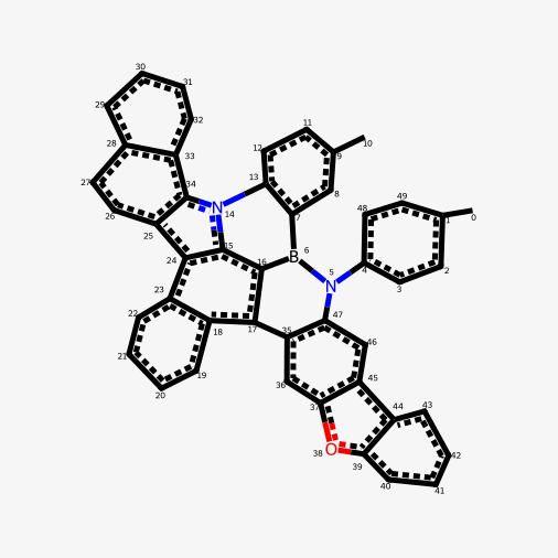 Cc1ccc(N2B3c4cc(C)ccc4-n4c5c3c(c3ccccc3c5c3ccc5ccccc5c34)-c3cc4oc5ccccc5c4cc32)cc1